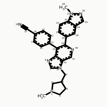 CN1CCC(Cn2cnc3c(-c4ccc(C#N)cc4)c(-c4ccc5c(cnn5C)c4)ncc32)C1